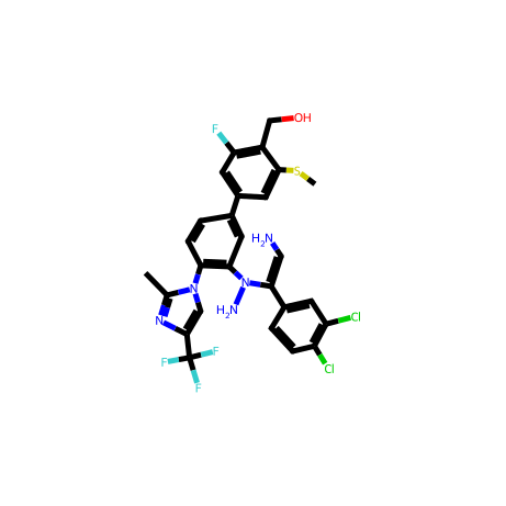 CSc1cc(-c2ccc(-n3cc(C(F)(F)F)nc3C)c(N(N)/C(=C\N)c3ccc(Cl)c(Cl)c3)c2)cc(F)c1CO